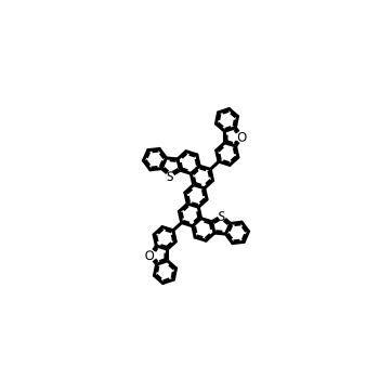 c1ccc2c(c1)oc1ccc(-c3cc4cc5c(cc(-c6ccc7oc8ccccc8c7c6)c6ccc7c8ccccc8sc7c65)cc4c4c3ccc3c5ccccc5sc34)cc12